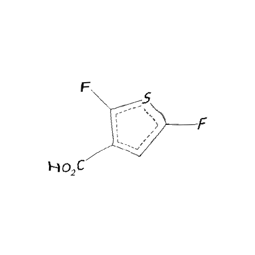 O=C(O)c1cc(F)sc1F